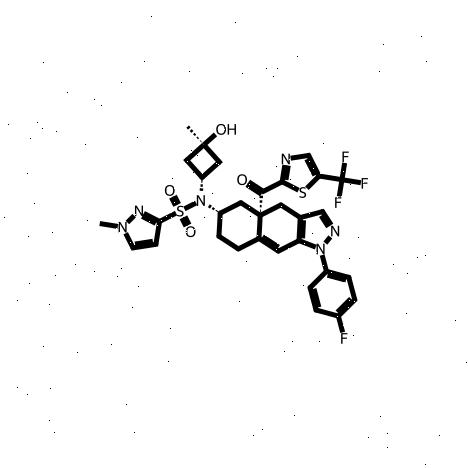 Cn1ccc(S(=O)(=O)N([C@H]2CCC3=Cc4c(cnn4-c4ccc(F)cc4)C[C@]3(C(=O)c3ncc(C(F)(F)F)s3)C2)[C@H]2C[C@](C)(O)C2)n1